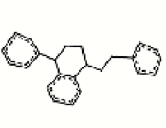 c1ccc(CCC2CCC(c3ccccc3)c3ccccc32)cc1